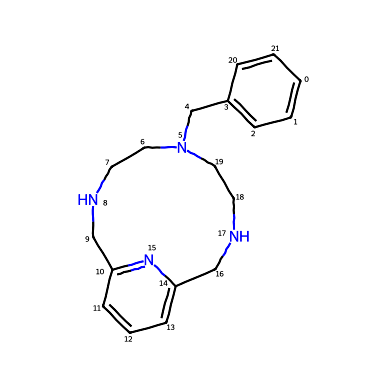 c1ccc(CN2CCNCc3cccc(n3)CNCC2)cc1